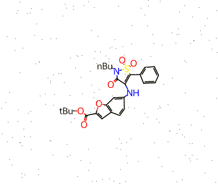 CCCCN1C(=O)C(Nc2ccc3cc(C(=O)OC(C)(C)C)oc3c2)=C(c2ccccc2)S1(=O)=O